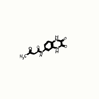 CC(=O)CC(=O)Nc1ccc2[nH]c(=O)c(=O)[nH]c2c1